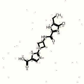 CCc1[nH]c(C(=O)NC2CN(c3ncc(C(=O)O)s3)C2)nc1Cl